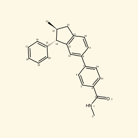 CNC(=O)c1ccc(-c2ccc3c(c2)[C@H](c2ccccc2)[C@@H](C)C3)cc1